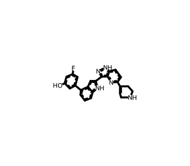 Oc1cc(F)cc(-c2cccc3[nH]c(-c4n[nH]c5ccc(C6=CCNCC6)nc45)cc23)c1